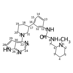 CN1CCCCC1CNC(=O)Nc1cccc(C2CCCN(c3ncnc4[nH]ccc34)C2)c1